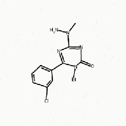 CCn1c(-c2cccc(Cl)c2)nc(N(C)N)nc1=O